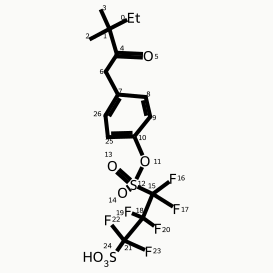 CCC(C)(C)C(=O)Cc1ccc(OS(=O)(=O)C(F)(F)C(F)(F)C(F)(F)S(=O)(=O)O)cc1